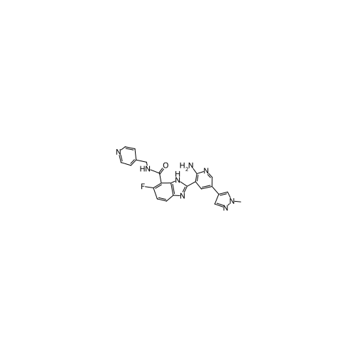 Cn1cc(-c2cnc(N)c(-c3nc4ccc(F)c(C(=O)NCc5ccncc5)c4[nH]3)c2)cn1